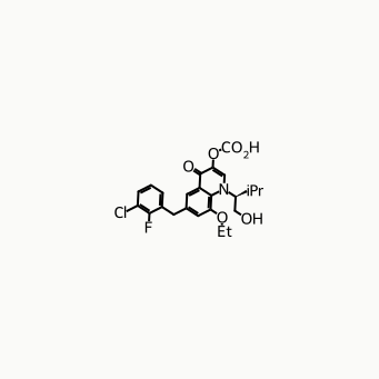 CCOc1cc(Cc2cccc(Cl)c2F)cc2c(=O)c(OC(=O)O)cn([C@H](CO)C(C)C)c12